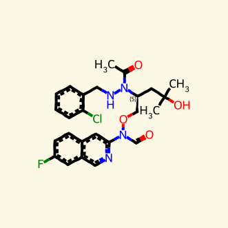 CC(=O)N(NCc1ccccc1Cl)[C@H](CON(C=O)c1cc2ccc(F)cc2cn1)CC(C)(C)O